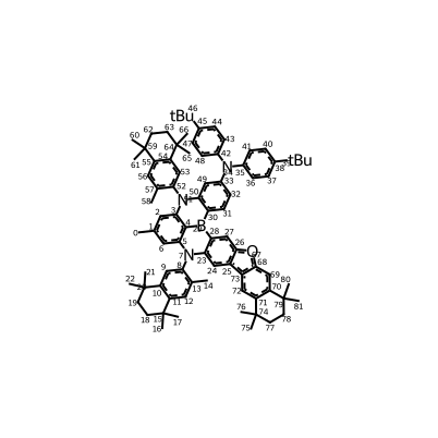 Cc1cc2c3c(c1)N(c1cc4c(cc1C)C(C)(C)CCC4(C)C)c1cc4c(cc1B3c1ccc(N(c3ccc(C(C)(C)C)cc3)c3ccc(C(C)(C)C)cc3)cc1N2c1cc2c(cc1C)C(C)(C)CCC2(C)C)oc1cc2c(cc14)C(C)(C)CCC2(C)C